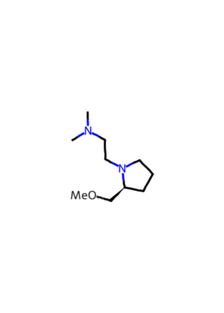 COC[C@@H]1CCCN1CCN(C)C